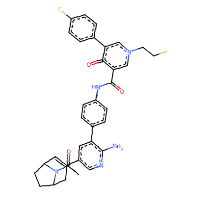 CC(=O)N1C2C=C(c3cnc(N)c(-c4ccc(NC(=O)c5cn(CCF)cc(-c6ccc(F)cc6)c5=O)cc4)c3)CC1CC2